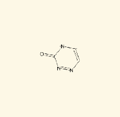 O=C1[N][C]=CN=N1